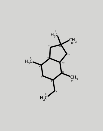 CCC1CC(C)C2CC(C)(C)CC2C1C